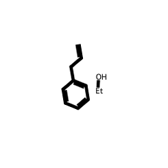 C=CCc1ccccc1.CCO